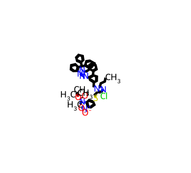 CCCCc1nc(Cl)c(CSc2ccc([N+](=O)[O-])c(N(C)C(=O)OC(C)(C)C)c2)n1Cc1ccc(-c2ccccc2-c2nnnn2C(c2ccccc2)(c2ccccc2)c2ccccc2)cc1